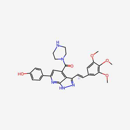 COc1cc(/C=C/c2n[nH]c3nc(-c4ccc(O)cc4)cc(C(=O)N4CCNCC4)c23)cc(OC)c1OC